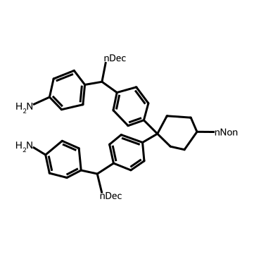 CCCCCCCCCCC(c1ccc(N)cc1)c1ccc(C2(c3ccc(C(CCCCCCCCCC)c4ccc(N)cc4)cc3)CCC(CCCCCCCCC)CC2)cc1